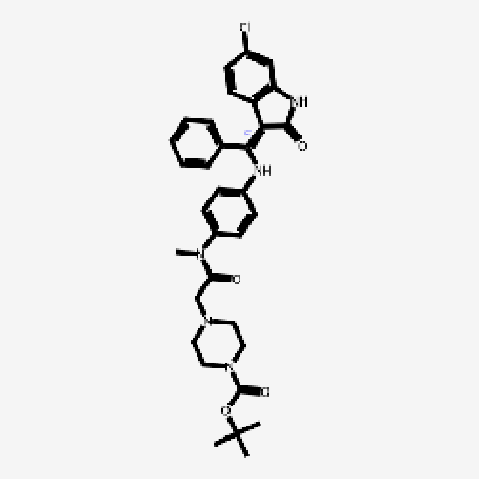 CN(C(=O)CN1CCN(C(=O)OC(C)(C)C)CC1)c1ccc(N/C(=C2\C(=O)Nc3cc(Cl)ccc32)c2ccccc2)cc1